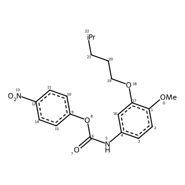 COc1ccc(NC(=O)Oc2ccc([N+](=O)[O-])cc2)cc1OCCCC(C)C